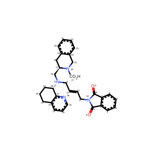 O=C1c2ccccc2C(=O)N1C/C=C/CN(C[C@H]1Cc2ccccc2CN1C(=O)O)[C@H]1CCCc2cccnc21